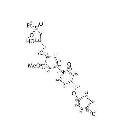 CCS(=O)(=O)CC(O)COc1ccc(-n2ccc(COc3ccc(Cl)cc3)cc2=O)cc1OC